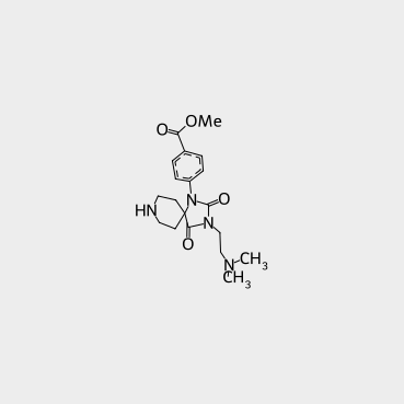 COC(=O)c1ccc(N2C(=O)N(CCN(C)C)C(=O)C23CCNCC3)cc1